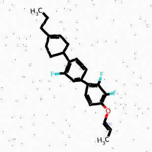 C/C=C/Oc1ccc(-c2ccc(C3CC=C(CCC)CC3)c(F)c2)c(F)c1F